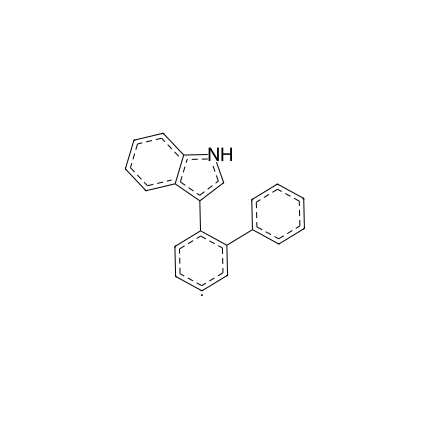 [c]1ccc(-c2c[nH]c3ccccc23)c(-c2ccccc2)c1